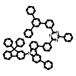 c1ccc(-c2cc(-c3ccccc3)cc(-c3cccc(-c4nc(-c5ccccc5)nc(-c5cccc(-c6cccc7c6c6cc(-c8ccccc8)ccc6n7-c6ccc7c(c6)C(c6ccccc6)(c6ccccc6)c6ccccc6-7)c5)n4)c3)c2)cc1